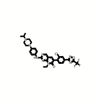 CCn1c(=O)c(-c2ccc(-c3noc(C(F)(F)F)n3)cc2Cl)cc2cnc(Nc3ccc(N4CCN(C(C)C)CC4)cc3)nc21